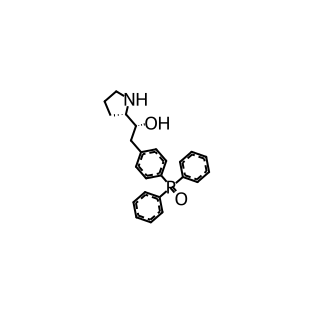 O=P(c1ccccc1)(c1ccccc1)c1ccc(C[C@@H](O)[C@@H]2CCCN2)cc1